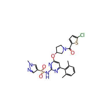 Cc1cccc(C)c1-c1cc(OC2CCN(C(=O)c3ccc(Cl)s3)C2)nc(NS(=O)(=O)c2cnn(C)c2)n1